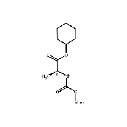 CCCCCCOC(=O)N[C@@H](C)C(=O)OC1CCCCC1